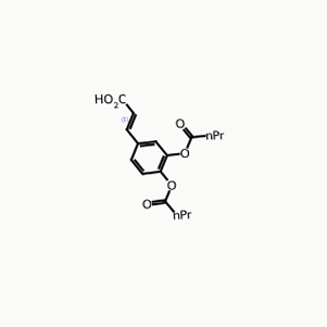 CCCC(=O)Oc1ccc(/C=C/C(=O)O)cc1OC(=O)CCC